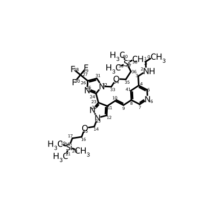 CCNCc1cncc(/C=C/c2cn(COCC[Si](C)(C)C)nc2-c2nc(C(F)(F)F)cn2COCC[Si](C)(C)C)c1